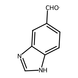 O=[C]c1ccc2[nH]cnc2c1